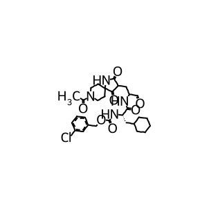 CC(=O)N1CCC2(CC1)NC(=O)C(CC(C=O)NC(=O)[C@H](CC1CCCCC1)NC(=O)OCc1cccc(Cl)c1)C2=O